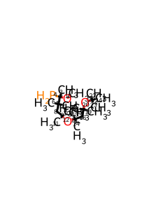 COC(C)(P)C(C)(C)CC(C)(C)OC(C)(C)CC(C)(C)OC(C)(C)C